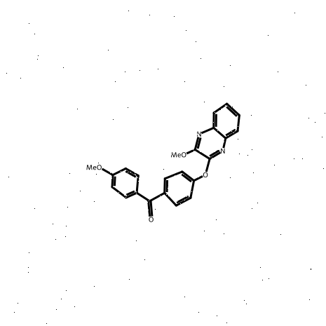 COc1ccc(C(=O)c2ccc(Oc3nc4ccccc4nc3OC)cc2)cc1